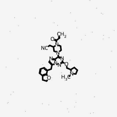 C=CC(=O)N1CCN(c2nc(OCC3CCCN3C)nn3c(Cc4cccc5c4OCC5)cnc23)CC1CC#N